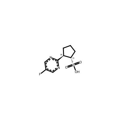 O=S(=O)(O)[C@H]1CCC[C@@H]1c1ncc(F)cn1